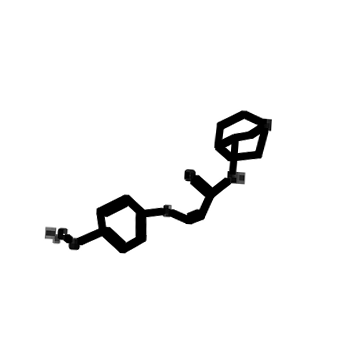 COc1ccc(S/C=C\C(=O)NC2CN3CCC2CC3)cc1